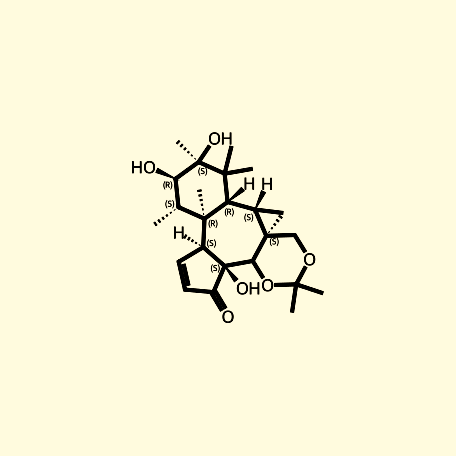 C[C@@H]1[C@@H](O)[C@@](C)(O)C(C)(C)[C@@H]2[C@@H]3C[C@@]34COC(C)(C)OC4[C@]3(O)C(=O)C=C[C@H]3[C@@]12C